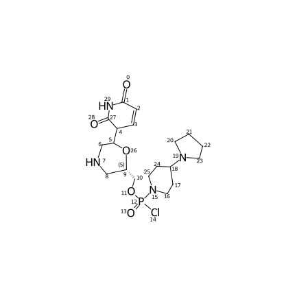 O=C1C=CC(C2CNC[C@@H](COP(=O)(Cl)N3CCC(N4CCCC4)CC3)O2)C(=O)N1